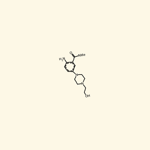 CNC(=O)c1cc(N2CCN(CCO)CC2)ccc1N